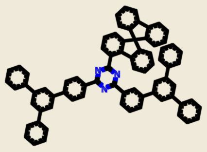 c1ccc(-c2cc(-c3ccccc3)cc(-c3ccc(-c4nc(-c5cccc(-c6cc(-c7ccccc7)cc(-c7ccccc7)c6)c5)nc(-c5cccc6c5-c5ccccc5C65c6ccccc6-c6ccccc65)n4)cc3)c2)cc1